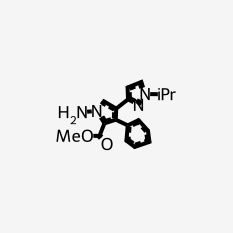 COC(=O)c1c(-c2ccccc2)c(-c2ccn(C(C)C)n2)cn1N